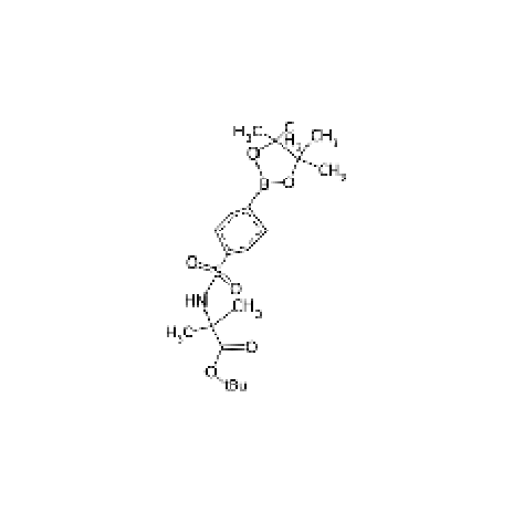 CC(C)(C)OC(=O)C(C)(C)NS(=O)(=O)c1ccc(B2OC(C)(C)C(C)(C)O2)cc1